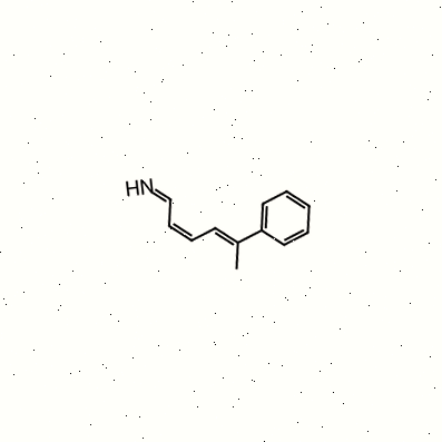 C/C(=C\C=C/C=N)c1ccccc1